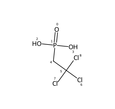 O=P(O)(O)CC(Cl)(Cl)Cl